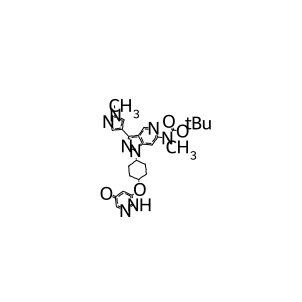 CN(C(=O)OC(C)(C)C)c1cc2c(cn1)c(-c1cnn(C)c1)nn2[C@H]1CC[C@@H](Oc2cc(=O)cn[nH]2)CC1